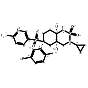 O=S1(=O)N[C@@H]2CC[C@](c3cc(F)ccc3F)(S(=O)(=O)c3ccc(C(F)(F)F)nc3)C[C@@H]2CN1C1CC1